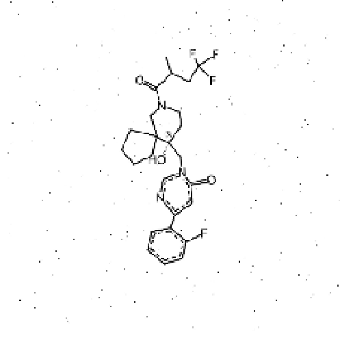 CC(CC(F)(F)F)C(=O)N1CC[C@@](O)(Cn2cnc(-c3ccccc3F)cc2=O)C2(CCCC2)C1